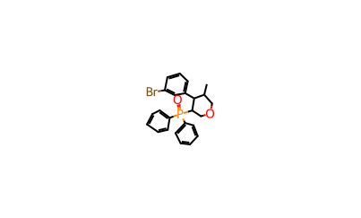 CC1COCC(P(=O)(c2ccccc2)c2ccccc2)C1c1cccc(Br)c1